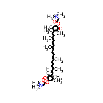 CC1=C(/C=C/C(C)=C/C=C/C(C)=C/C=C/C=C(C)/C=C/C=C(C)/C=C/C2=C(C)C(=O)[C@@H](OC(=O)CN(C)C)CC2(C)C)C(C)(C)C[C@H](OC(=O)CN(C)C)C1=O